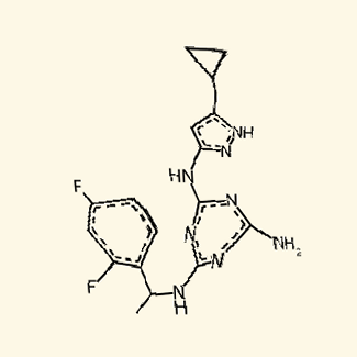 CC(Nc1nc(N)nc(Nc2cc(C3CC3)[nH]n2)n1)c1ccc(F)cc1F